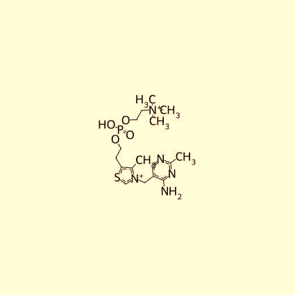 Cc1ncc(C[n+]2csc(CCOP(=O)(O)OCC[N+](C)(C)C)c2C)c(N)n1